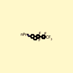 CCC/C=C/C1CCC2c3cc(F)c(-c4ccc(C(F)(F)F)c(F)c4)c(F)c3CCC2C1